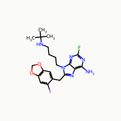 CC(C)(C)NCCCCn1c(Cc2cc3c(cc2I)OCO3)nc2c(N)nc(F)nc21